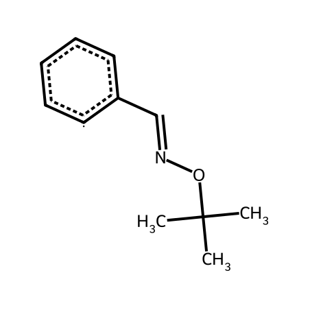 CC(C)(C)ON=Cc1[c]cccc1